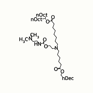 CCCCCCCCCCCOC(=O)CCCCCN(CCCCCCCC(=O)OC(CCCCCCCC)CCCCCCCC)CCOC(=O)NCCN(C)C